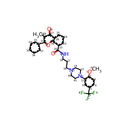 COc1ccc(C(F)(F)F)cc1N1CCN(CCCNC(=O)c2cccc3c(=O)c(C)c(-c4ccccc4)oc23)CC1